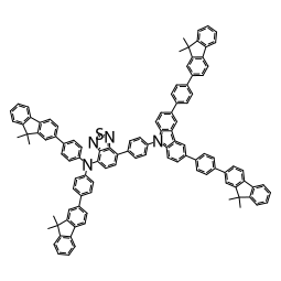 CC1(C)c2ccccc2-c2ccc(-c3ccc(-c4ccc5c(c4)c4cc(-c6ccc(-c7ccc8c(c7)C(C)(C)c7ccccc7-8)cc6)ccc4n5-c4ccc(-c5ccc(N(c6ccc(-c7ccc8c(c7)C(C)(C)c7ccccc7-8)cc6)c6ccc(-c7ccc8c(c7)C(C)(C)c7ccccc7-8)cc6)c6nsnc56)cc4)cc3)cc21